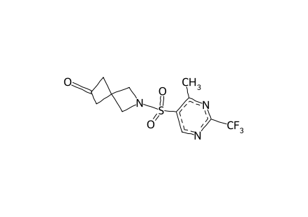 Cc1nc(C(F)(F)F)ncc1S(=O)(=O)N1CC2(CC(=O)C2)C1